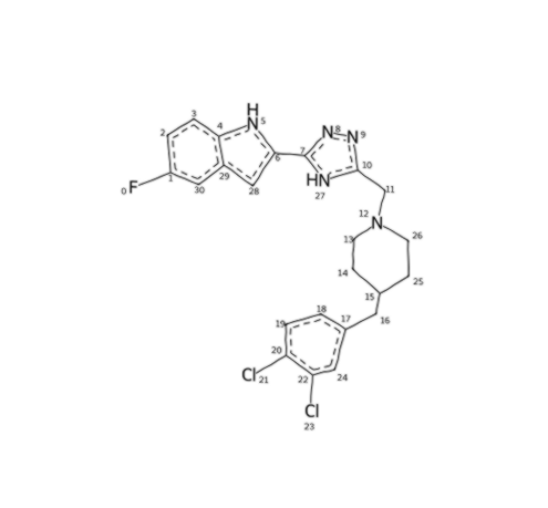 Fc1ccc2[nH]c(-c3nnc(CN4CCC(Cc5ccc(Cl)c(Cl)c5)CC4)[nH]3)cc2c1